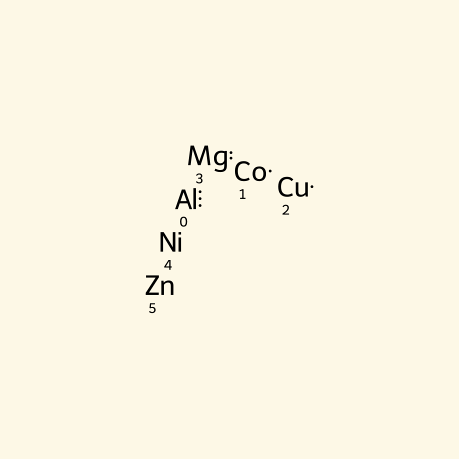 [Al].[Co].[Cu].[Mg].[Ni].[Zn]